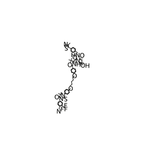 Cc1ncsc1-c1ccc(CNC(=O)[C@@H]2C[C@@H](O)CN2C(=O)[C@@H](NC(=O)c2ccc(OCCCCCOc3ccc(N4C(=S)N(c5ccc(C#N)c(C(F)(F)F)c5)C(=O)C4(C)C)cc3)cc2)C(C)(C)C)cc1